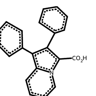 O=C(O)c1c(-c2ccccc2)c(-c2ccccc2)c2ccccn12